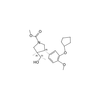 COC(=O)N1C[C@H](c2ccc(OC)c(OC3CCCC3)c2)[C@@](C)([C@H](C)O)C1